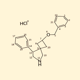 Cl.c1ccc(COC2CC3(CNCC3c3ccccc3)C2)cc1